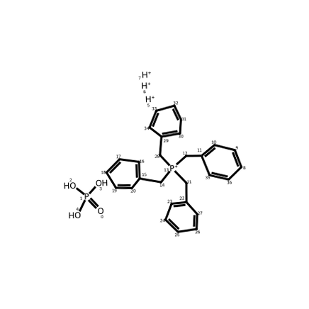 O=P(O)(O)O.[H+].[H+].[H+].c1ccc(C[P+](Cc2ccccc2)(Cc2ccccc2)Cc2ccccc2)cc1